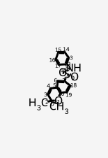 CC1(C)C=Cc2cc(S(=O)(=O)Nc3ccccc3)ccc2O1